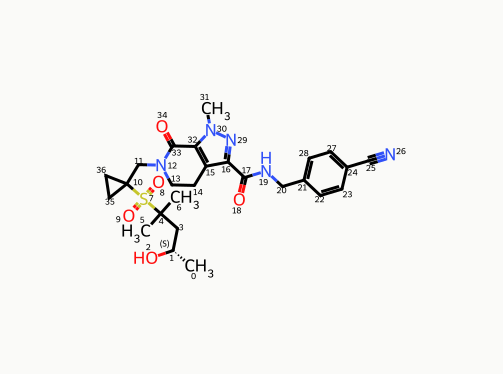 C[C@H](O)CC(C)(C)S(=O)(=O)C1(CN2CCc3c(C(=O)NCc4ccc(C#N)cc4)nn(C)c3C2=O)CC1